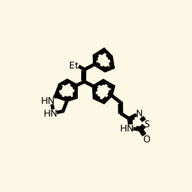 CC/C(=C(/c1ccc(/C=C/c2nsc(=O)[nH]2)cc1)c1ccc2c(c1)CNN2)c1ccccc1